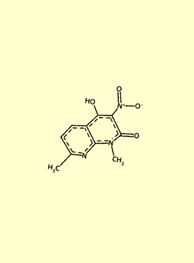 Cc1ccc2c(O)c([N+](=O)[O-])c(=O)n(C)c2n1